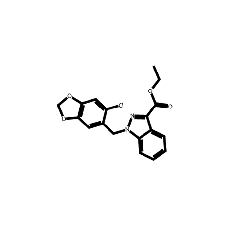 CCOC(=O)c1nn(Cc2cc3c(cc2Cl)OCO3)c2ccccc12